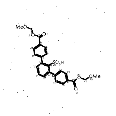 COCOC(=O)c1ccc(-c2cccc(-c3ccc(C(=O)OCOC)cc3)c2S(=O)(=O)O)cc1